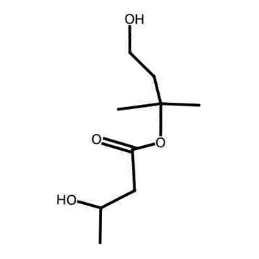 CC(O)CC(=O)OC(C)(C)CCO